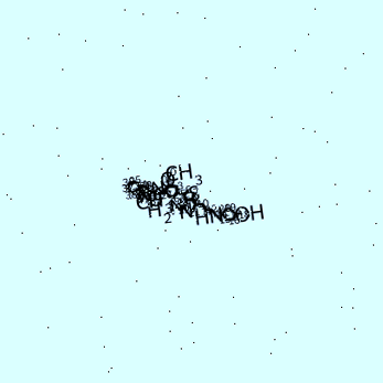 COc1cc(-c2csc3c(C=CCNC4CCC(O)CC4)cnc(N)c23)ccc1NC(=O)c1cc2ccccc2n1C